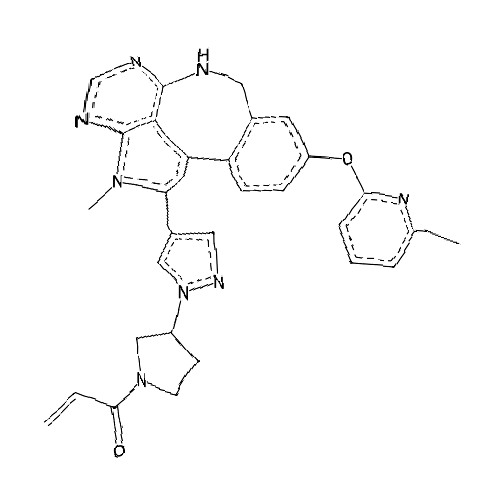 C=CC(=O)N1CCC(n2cc(-c3c4c5c(ncnc5n3C)NCc3cc(Oc5cccc(C)n5)ccc3-4)cn2)C1